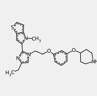 CCc1cn(CCOc2cccc(OC3CCNCC3)c2)c(-c2cc3sccc3n2C)n1